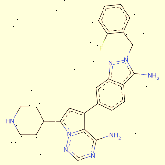 Nc1ncnn2c(C3CCNCC3)cc(-c3ccc4c(N)n(Cc5ccccc5F)nc4c3)c12